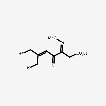 CCOC(=O)CC(=NOC)C(=O)C=C(CS)CS